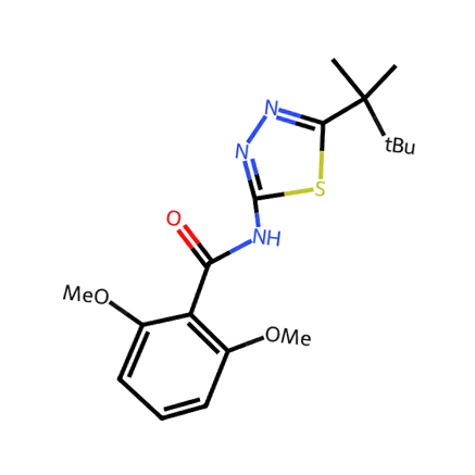 COc1cccc(OC)c1C(=O)Nc1nnc(C(C)(C)C(C)(C)C)s1